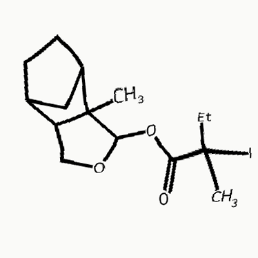 CCC(C)(I)C(=O)OC1OCC2C3CCC(C3)C12C